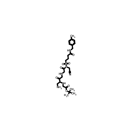 Cc1ccc(CNC(=O)CCCS(=O)(=O)N(CC#N)C(=O)CNCC(=O)C(CN)NCC(=O)OC(C)(C)C)cc1